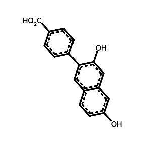 O=C(O)c1ccc(-c2cc3ccc(O)cc3cc2O)cc1